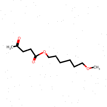 COCCCCCCOC(=O)CCC(C)=O